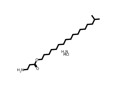 CC(C)CCCCCCCCCCCCCCCOC(=O)CCN.Cl.N